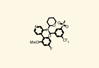 COc1cc(F)ccc1-c1ccncc1N(C(=O)c1cc(C(F)(F)F)cc(S(C)(=O)=O)c1)C1CCCCO1